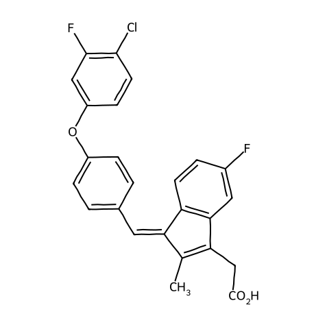 CC1=C(CC(=O)O)c2cc(F)ccc2/C1=C\c1ccc(Oc2ccc(Cl)c(F)c2)cc1